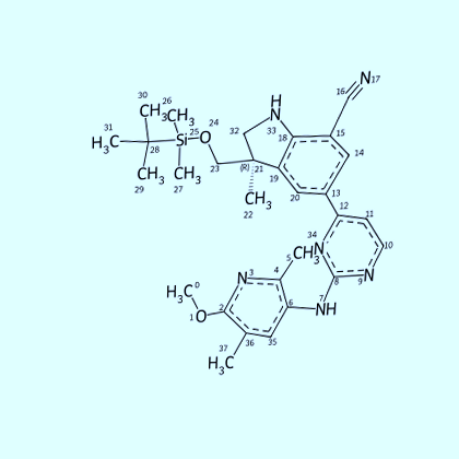 COc1nc(C)c(Nc2nccc(-c3cc(C#N)c4c(c3)[C@@](C)(CO[Si](C)(C)C(C)(C)C)CN4)n2)cc1C